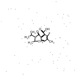 Cc1ccc(C(=O)N(C(C)C)C(C)C)c(C(=O)O)c1F